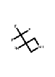 [2H]C1(C(F)(F)F)CNC1